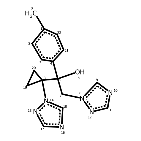 Cc1ccc(C(O)(Cn2cncn2)C2(n3cncn3)CC2)cc1